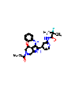 COC(=O)N1CC(=O)c2c([nH]c(-c3ccnc(NC(=O)C(C)(C)F)c3)c2Nc2ccccc2)C1